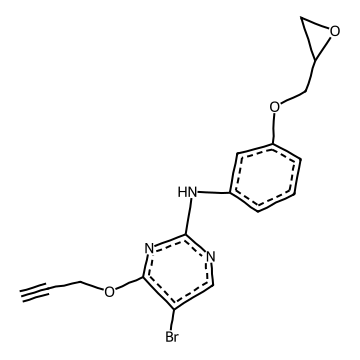 C#CCOc1nc(Nc2cccc(OCC3CO3)c2)ncc1Br